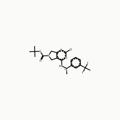 C[C@@H](Nc1nc(Cl)nc2c1CN(C(=O)OC(C)(C)C)C2)c1cccc(C(F)(F)F)c1